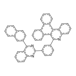 c1cc(-c2nc(-c3ccc4ccccc4c3)c3ccccc3n2)cc(-c2nc3ccccc3c3c4ccccc4c4ccccc4c23)c1